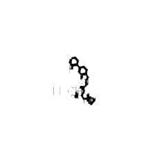 COC(=O)[C@@H]1CC2(CN1C(=O)CN1Cc3ccc(-c4ccc(F)cc4F)cc3C1)OCCO2